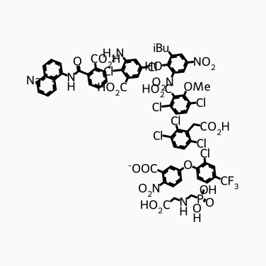 CCC(C)c1cc([N+](=O)[O-])cc([N+](=O)[O-])c1O.COc1c(Cl)ccc(Cl)c1C(=O)O.Nc1cc(Cl)cc(C(=O)O)c1Cl.O=C(O)CNCP(=O)(O)O.O=C(O)Cc1c(Cl)ccc(Cl)c1Cl.O=C(O)c1ccccc1C(=O)Nc1cccc2ccccc12.O=C([O-])c1cc(Oc2ccc(C(F)(F)F)cc2Cl)ccc1[N+](=O)[O-].[Na+]